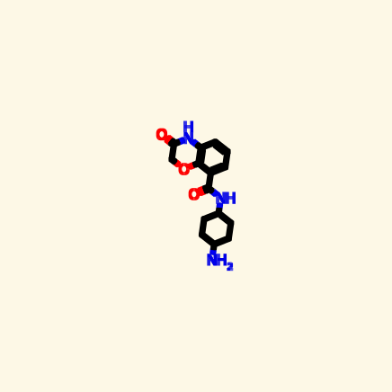 NC1CCC(NC(=O)c2cccc3c2OCC(=O)N3)CC1